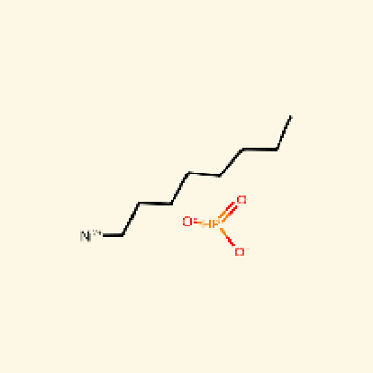 CCCCCCC[CH2][Ni+2].O=[PH]([O-])[O-]